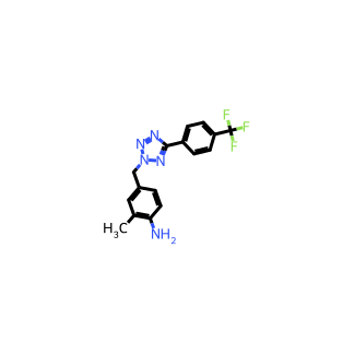 Cc1cc(Cn2nnc(-c3ccc(C(F)(F)F)cc3)n2)ccc1N